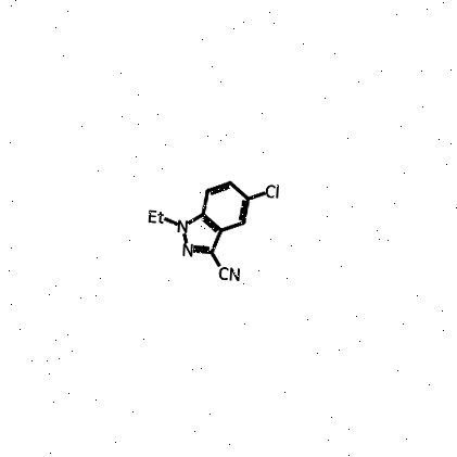 CCn1nc(C#N)c2cc(Cl)ccc21